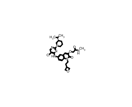 CNC(=O)COc1cc2cc(Nc3nc(N4CCC[C@H](C(C)C)C4)ncc3Cl)ccc2n(CCC2COC2)c1=O